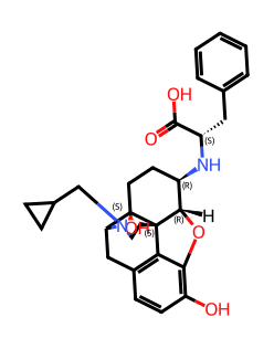 O=C(O)[C@H](Cc1ccccc1)N[C@@H]1CC[C@@]2(O)C3Cc4ccc(O)c5c4[C@@]2(CCN3CC2CC2)[C@H]1O5